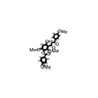 COc1ccc(C(=O)CC(=O)c2c(O)cc(OC)c(OC(=O)c3ccc(OC)cc3)c2OC)cc1